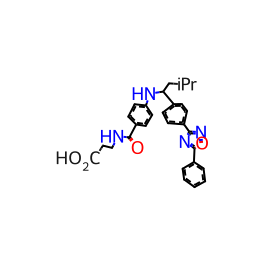 CC(C)CC(Nc1ccc(C(=O)NCCC(=O)O)cc1)c1ccc(-c2noc(-c3ccccc3)n2)cc1